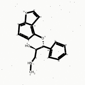 CNC[C@@H](O)[C@H](Oc1cccc2sccc12)c1ccccc1